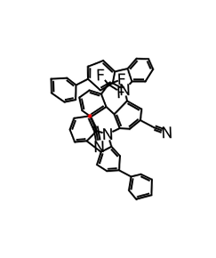 N#Cc1cc(-n2c3ccccc3c3ccc(-c4ccccc4)cc32)c(-c2c(C#N)cccc2C(F)(F)F)c(-n2c3ccccc3c3ccc(-c4ccccc4)cc32)c1